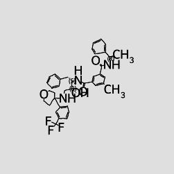 Cc1cc(C(=O)N[C@@H](Cc2ccccc2)[C@H](O)CNC2(c3cccc(C(F)(F)F)c3)CCOCC2)cc(C(=O)N[C@H](C)c2ccccc2)c1